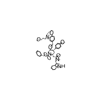 COCCCN1CCOc2ccc(CO[C@H]3CN(C(=O)OCc4ccccc4)[C@H](CC(=O)N(C)Cc4c[nH]c5ccccc45)C[C@@H]3c3ccc(OC)cc3)cc21